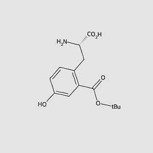 CC(C)(C)OC(=O)c1cc(O)ccc1C[C@H](N)C(=O)O